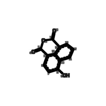 O=C1OC(=O)c2ccc(O)c3cccc1c23